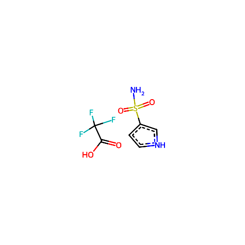 NS(=O)(=O)c1cc[nH]c1.O=C(O)C(F)(F)F